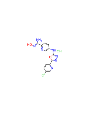 Cl.NC(=NO)c1ccc(Nc2nnc(-c3ccc(Cl)cn3)o2)cn1